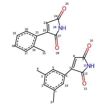 Cc1cc(C)cc(C2=CC(=O)NC2=O)c1.Cc1ccccc1C1=CC(=O)NC1=O